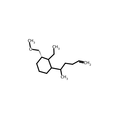 C=CCCC(C)C1CCC[C@H](COC)C1CC